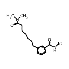 CCNC(=O)c1cccc(CCCCCCC(=O)N(C)C)c1